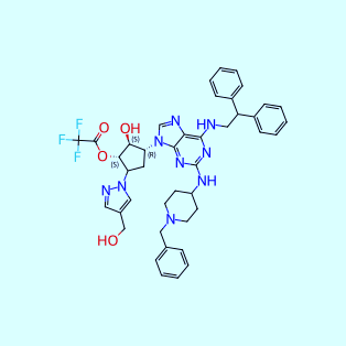 O=C(O[C@H]1C(n2cc(CO)cn2)C[C@@H](n2cnc3c(NCC(c4ccccc4)c4ccccc4)nc(NC4CCN(Cc5ccccc5)CC4)nc32)[C@@H]1O)C(F)(F)F